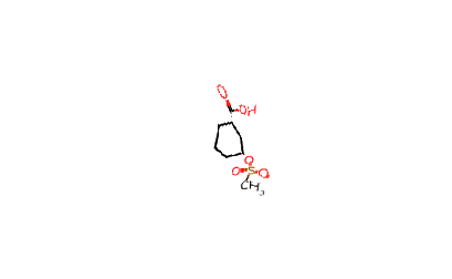 CS(=O)(=O)O[C@@H]1CCC[C@H](C(=O)O)C1